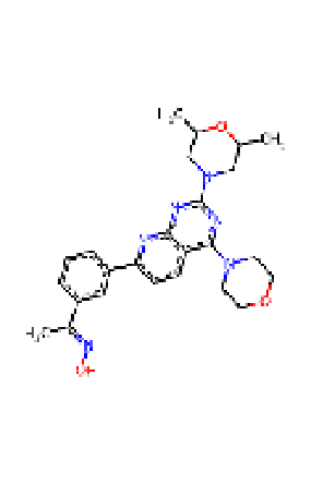 CC(=NO)c1cccc(-c2ccc3c(N4CCOCC4)nc(N4CC(C)OC(C)C4)nc3n2)c1